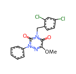 COc1nn(-c2ccccc2)c(=O)n(Cc2ccc(Cl)cc2Cl)c1=O